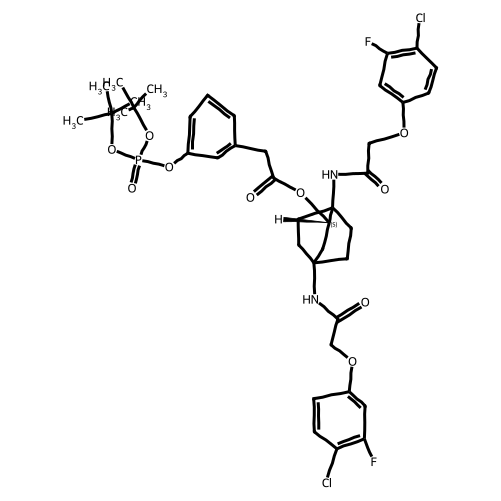 CC(C)(C)OP(=O)(Oc1cccc(CC(=O)O[C@H]2CC3(NC(=O)COc4ccc(Cl)c(F)c4)CCC2(NC(=O)COc2ccc(Cl)c(F)c2)CC3)c1)OC(C)(C)C